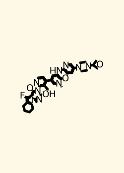 Cn1cc(-c2ccnc(-n3cnn4c5c(c(F)c4c3=O)CCCC5)c2CO)cc(Nc2ccc(N3CCN(C4COC4)CC3)cn2)c1=O